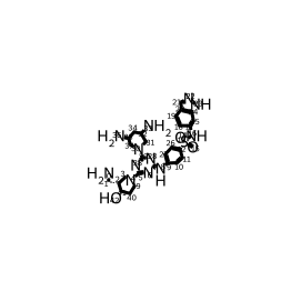 NC[C@@H]1CN(c2nc(Nc3ccc(S(=O)(=O)Nc4ccc5cn[nH]c5c4)cc3)nc(N3CC(N)CC(N)C3)n2)CC[C@@H]1O